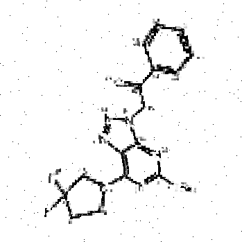 CC(C)(C)c1nc(N2CCC(F)(F)C2)c2nnn(CC(=O)c3ccccc3)c2n1